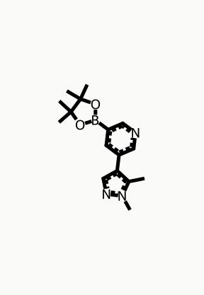 Cc1c(-c2cncc(B3OC(C)(C)C(C)(C)O3)c2)cnn1C